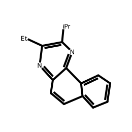 CCc1nc2ccc3ccccc3c2nc1C(C)C